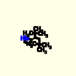 CC(C)(C)CC([C@@H]1CCN1)C(C)(C)C